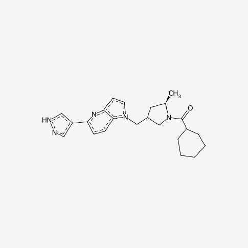 C[C@@H]1CC(Cn2ccc3nc(-c4cn[nH]c4)ccc32)CN1C(=O)C1CCCCC1